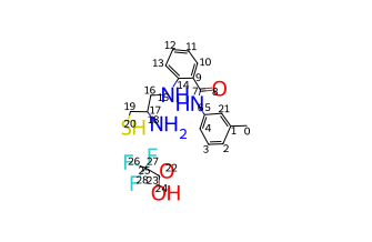 Cc1cccc(NC(=O)c2ccccc2NCC(N)CS)c1.O=C(O)C(F)(F)F